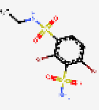 CCNS(=O)(=O)c1ccc(Br)c(S(N)(=O)=O)c1Br